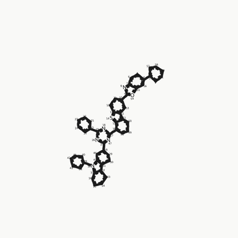 c1ccc(-c2ccc3nc(-c4ccc5sc6c(-c7nc(-c8ccccc8)nc(-c8ccc9c%10ccccc%10n(-c%10ccccc%10)c9c8)n7)cccc6c5c4)oc3c2)cc1